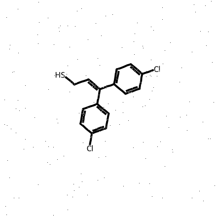 SCC=C(c1ccc(Cl)cc1)c1ccc(Cl)cc1